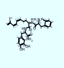 C=C(F)/C=C\C=C/CCC(NC(=O)C(N)Cc1ccccc1F)C(=O)NC(Cc1ccc(O)c(O)c1)C(N)=O